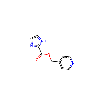 O=C(OCc1ccncc1)c1ncc[nH]1